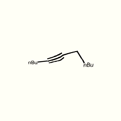 CCCCC#CCCCCC